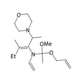 C=CCOC(C)(OC)N(C=C)/C(=C(/C)CC)C(C)N1CCOCC1